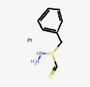 NN[SH](C=S)Cc1ccccc1.[Pt]